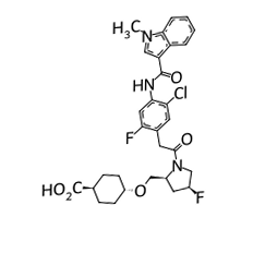 Cn1cc(C(=O)Nc2cc(F)c(CC(=O)N3C[C@@H](F)C[C@H]3CO[C@H]3CC[C@H](C(=O)O)CC3)cc2Cl)c2ccccc21